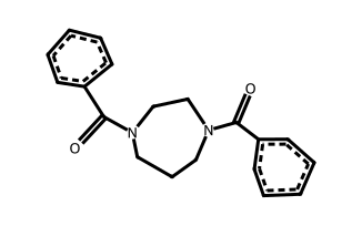 O=C(c1ccccc1)N1CCCN(C(=O)c2ccccc2)CC1